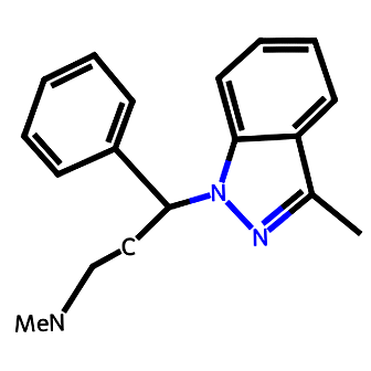 CNCCC(c1ccccc1)n1nc(C)c2ccccc21